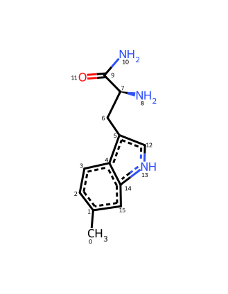 Cc1ccc2c(C[C@H](N)C(N)=O)c[nH]c2c1